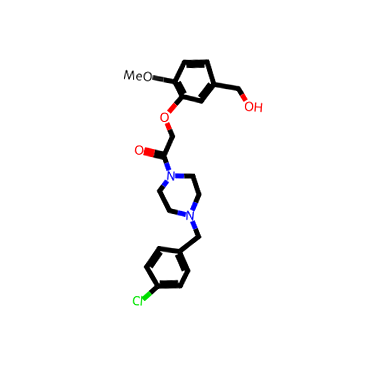 COc1ccc(CO)cc1OCC(=O)N1CCN(Cc2ccc(Cl)cc2)CC1